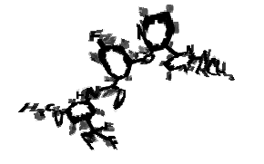 CNc1nccc(-c2cccnc2Oc2cc(F)cc(C(=O)Nc3cc(OC)cc(C(F)(F)F)c3)c2)n1